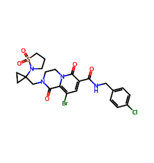 O=C(NCc1ccc(Cl)cc1)c1cc(Br)c2n(c1=O)CCN(CC1(N3CCCS3(=O)=O)CC1)C2=O